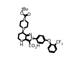 CC(C)(C)OC(=O)N1CCN(C2CCNc3c2nn(-c2ccc(Oc4ccccc4C(F)(F)F)cc2)c3C(=O)O)CC1